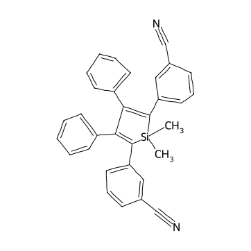 C[Si]1(C)C(c2cccc(C#N)c2)=C(c2ccccc2)C(c2ccccc2)=C1c1cccc(C#N)c1